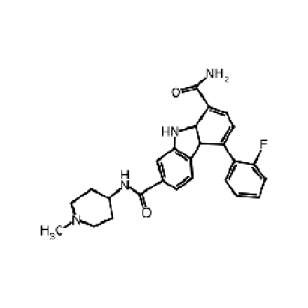 CN1CCC(NC(=O)c2ccc3c(c2)NC2C(C(N)=O)=CC=C(c4ccccc4F)C32)CC1